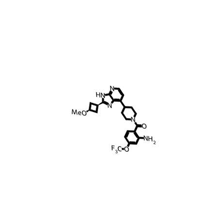 CO[C@H]1C[C@@H](c2nc3c(C4CCN(C(=O)c5ccc(OC(F)(F)F)cc5N)CC4)ccnc3[nH]2)C1